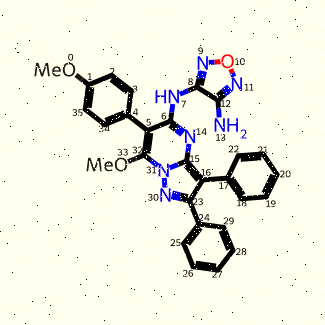 COc1ccc(-c2c(Nc3nonc3N)nc3c(-c4ccccc4)c(-c4ccccc4)nn3c2OC)cc1